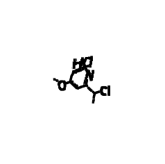 COc1ccnc(C(C)Cl)c1.Cl